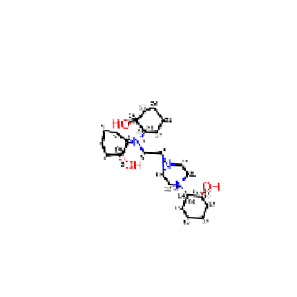 O[C@@H]1CCCC[C@H]1N(CCN1CCN([C@H]2CCCC[C@@H]2O)CC1)[C@@H]1CCCC[C@H]1O